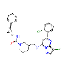 O=C(N[C@@H]1C[C@H]1c1ccccc1)N1CCCC(CNc2cc(-c3ccccc3Cl)nc3c(Br)cnn23)C1